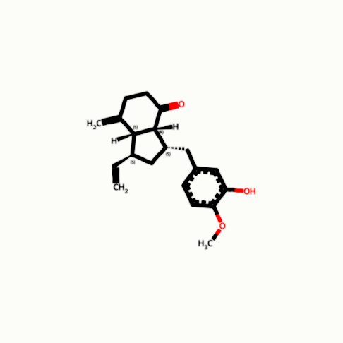 C=C[C@@H]1C[C@@H](Cc2ccc(OC)c(O)c2)[C@H]2C(=O)CCC(=C)[C@H]21